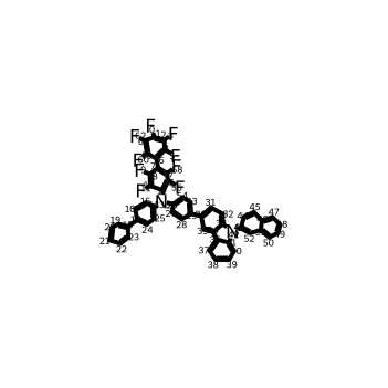 Fc1c(F)c(F)c(-c2c(F)c(F)c(N(c3ccc(-c4ccccc4)cc3)c3ccc(-c4ccc5c(c4)c4ccccc4n5-c4ccc5ccccc5c4)cc3)c(F)c2F)c(F)c1F